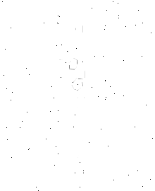 CCCCOc1ccc(-c2ccc(OCC3CCC(C4CCC(CCC)CC4)CC3)c(F)c2F)cc1F